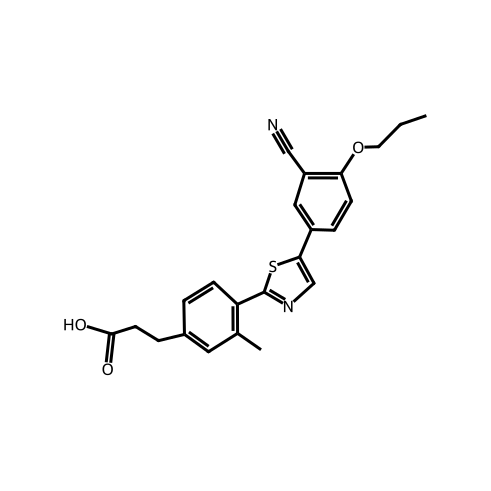 CCCOc1ccc(-c2cnc(-c3ccc(CCC(=O)O)cc3C)s2)cc1C#N